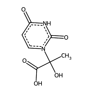 CC(O)(C(=O)O)n1ccc(=O)[nH]c1=O